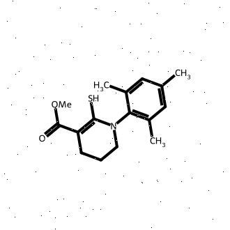 COC(=O)C1=C(S)N(c2c(C)cc(C)cc2C)CCC1